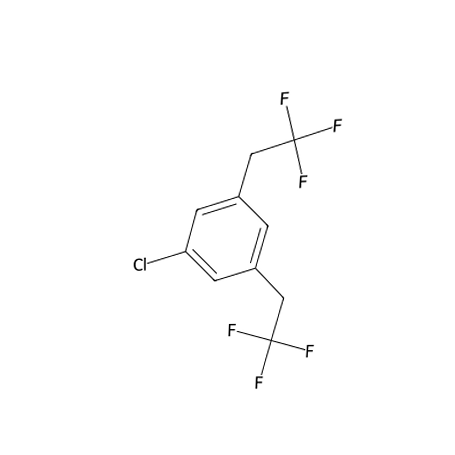 FC(F)(F)Cc1cc(Cl)cc(CC(F)(F)F)c1